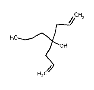 C=CCC(O)(CC=C)CCO